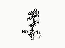 CCC1(C(=O)O)C(COCCNC(=O)CC(O)CC(O)CCn2c(-c3ccc(F)cc3)c(-c3ccccc3)c(C(=O)Nc3ccccc3)c2C(C)C)NC(C)=C(C)C1c1cccc(Cl)c1